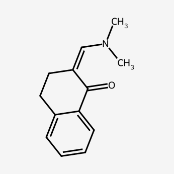 CN(C)/C=C1/CCc2ccccc2C1=O